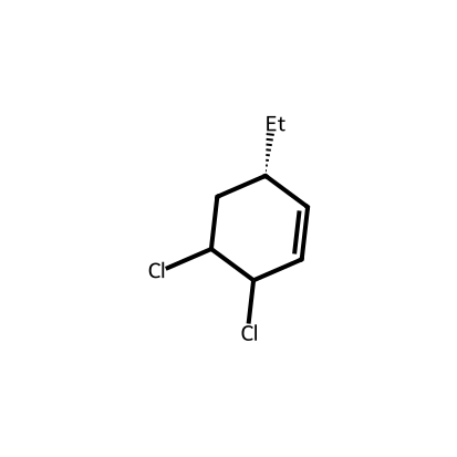 CC[C@@H]1C=CC(Cl)C(Cl)C1